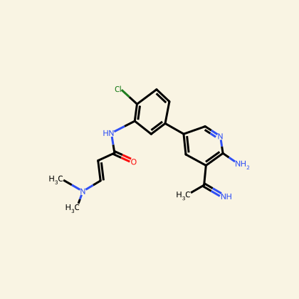 CC(=N)c1cc(-c2ccc(Cl)c(NC(=O)/C=C/N(C)C)c2)cnc1N